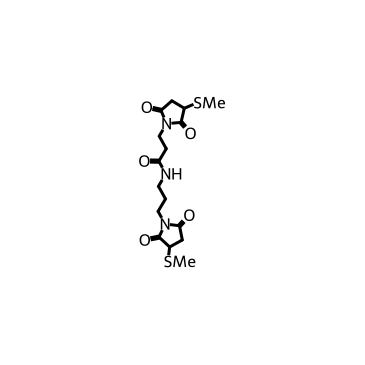 CSC1CC(=O)N(CCCNC(=O)CCN2C(=O)CC(SC)C2=O)C1=O